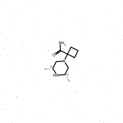 C[C@@H]1CN(C2(C(N)=O)CCC2)C[C@H](C)N1